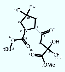 COC(=O)C(O)(CC(=O)[C@H]1CC(F)(F)CN1C(=O)OC(C)(C)C)C(F)(F)F